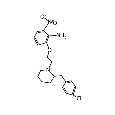 Nc1c(OCCN2CCCCC2Cc2ccc(Cl)cc2)cccc1[N+](=O)[O-]